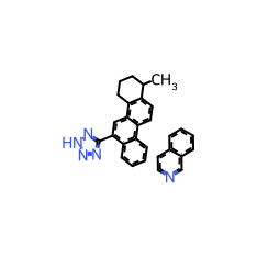 CC1CCCc2c1ccc1c2cc(-c2nn[nH]n2)c2ccccc21.c1ccc2cnccc2c1